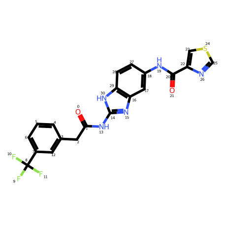 O=C(Cc1cccc(C(F)(F)F)c1)Nc1nc2cc(NC(=O)c3cscn3)ccc2[nH]1